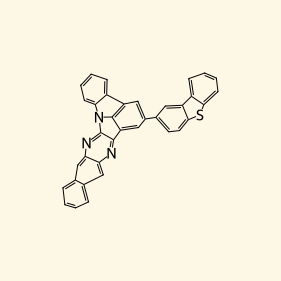 c1ccc2cc3nc4c(nc3cc2c1)c1cc(-c2ccc3sc5ccccc5c3c2)cc2c3ccccc3n4c21